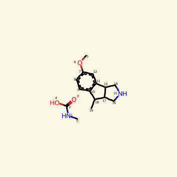 CNC(=O)O.COc1ccc2c(c1)C1CNCC1C2C